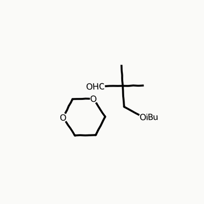 C1COCOC1.CC(C)COCC(C)(C)C=O